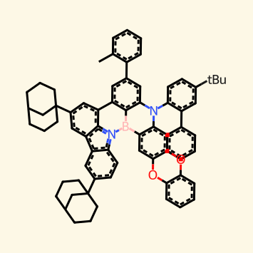 Cc1ccccc1-c1cc2c3c(c1)N(c1ccc(C(C)(C)C)cc1-c1ccccc1)c1cc4c(cc1B3n1c3ccc(C56CCCC(CCC5)C6)cc3c3cc(C56CCCC(CCC5)C6)cc-2c31)Oc1ccccc1O4